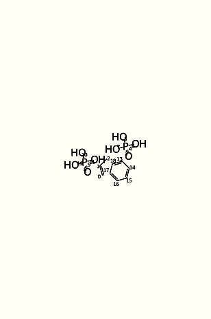 C=CC.O=P(O)(O)O.O=P(O)(O)O.c1ccccc1